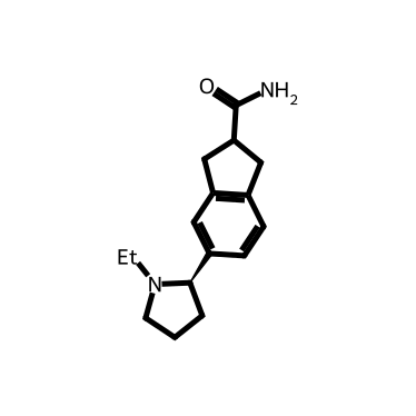 CCN1CCC[C@@H]1c1ccc2c(c1)CC(C(N)=O)C2